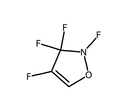 FC1=CON(F)C1(F)F